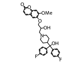 COc1cc2oc(=O)ccc2cc1OCC(O)CN1CCC(C(O)(c2ccc(F)cc2)c2ccc(F)cc2)CC1